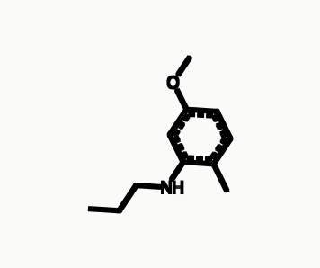 CCCNc1cc(OC)ccc1C